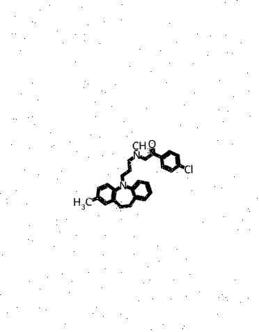 Cc1ccc2c(c1)CCc1ccccc1N2CCCN(C)CC(=O)c1ccc(Cl)cc1